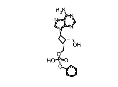 Nc1ncnc2c1ncn2[C@@H]1C[C@H](COP(=O)(O)Oc2ccccc2)[C@H]1CO